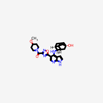 COC1CCN(C(=O)c2noc(-c3cnc4[nH]ccc4c3N[C@H]3[C@@H]4CC5C[C@H]3C[C@@](O)(C5)C4)n2)CC1